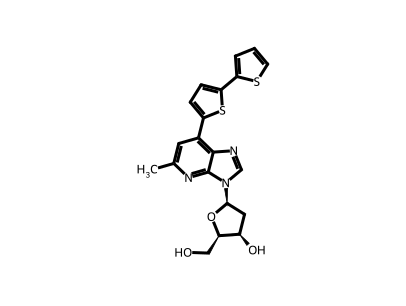 Cc1cc(-c2ccc(-c3cccs3)s2)c2ncn([C@H]3C[C@@H](O)[C@@H](CO)O3)c2n1